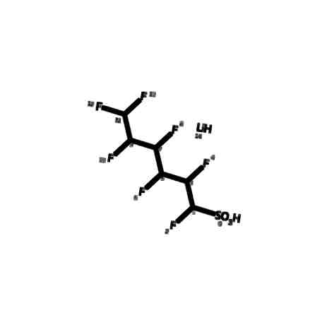 O=S(=O)(O)C(F)C(F)C(F)C(F)C(F)C(F)F.[LiH]